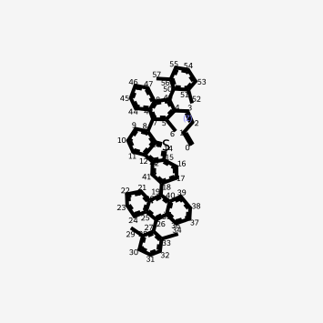 C=C/C=C\c1c(C)c(-c2cccc3c2sc2ccc(-c4c5ccccc5c(-c5c(C)cccc5C)c5ccccc45)cc23)c2ccccc2c1-c1c(C)cccc1C